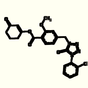 COc1cc(Cn2nnn(-c3ccccc3Cl)c2=O)ccc1C(=O)OC1=CC(=O)CCC1